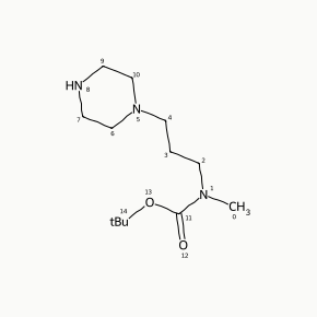 CN(CCCN1CCNCC1)C(=O)OC(C)(C)C